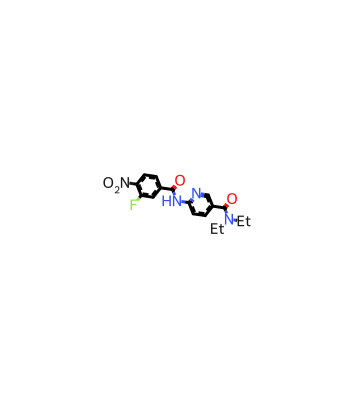 CCN(CC)C(=O)c1ccc(NC(=O)c2ccc([N+](=O)[O-])c(F)c2)nc1